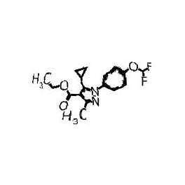 CCOC(=O)c1c(C)nn(-c2ccc(OC(F)F)cc2)c1C1CC1